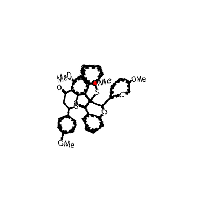 COc1ccc(C2CC(=O)c3c(OC)cc(OC)c(C4(Sc5ccccc5)C(=O)c5ccccc5OC4c4ccc(OC)cc4)c3O2)cc1